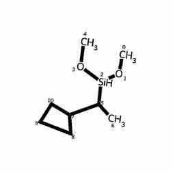 CO[SiH](OC)C(C)C1CCC1